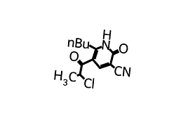 CCCCc1[nH]c(=O)c(C#N)cc1C(=O)C(C)Cl